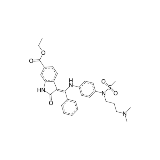 CCOC(=O)c1ccc2c(c1)NC(=O)C2=C(Nc1ccc(N(CCCN(C)C)S(C)(=O)=O)cc1)c1ccccc1